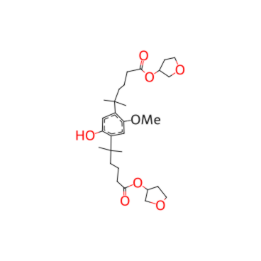 COc1cc(C(C)(C)CCCC(=O)OC2CCOC2)c(O)cc1C(C)(C)CCCC(=O)OC1CCOC1